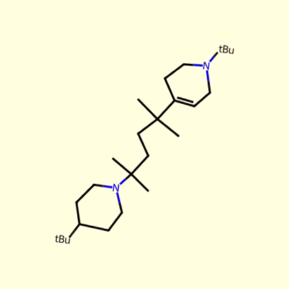 CC(C)(CCC(C)(C)N1CCC(C(C)(C)C)CC1)C1=CCN(C(C)(C)C)CC1